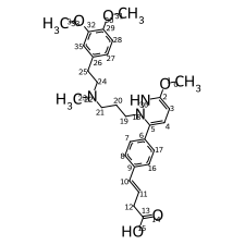 COC1=CC=C(c2ccc(/C=C/CC(=O)O)cc2)N(CCCN(C)CCc2ccc(OC)c(OC)c2)N1